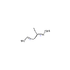 CC(/C=C/C(C)C)=N\O